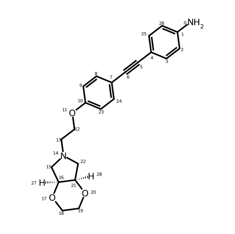 Nc1ccc(C#Cc2ccc(OCCN3C[C@@H]4OCCO[C@@H]4C3)cc2)cc1